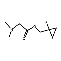 CN(C)CC(=O)OCC1(F)[CH]C1